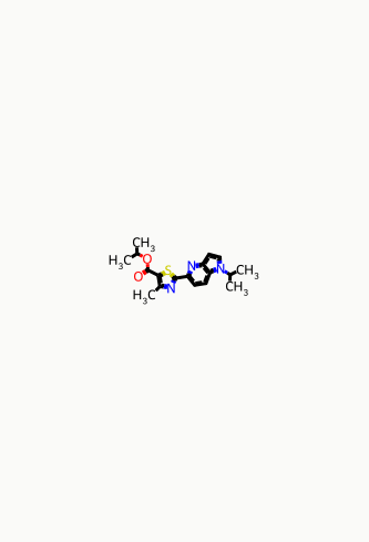 Cc1nc(-c2ccc3c(ccn3C(C)C)n2)sc1C(=O)OC(C)C